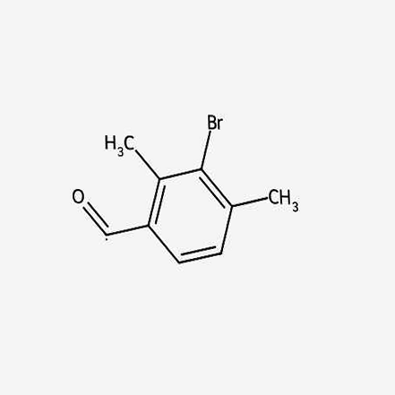 Cc1ccc([C]=O)c(C)c1Br